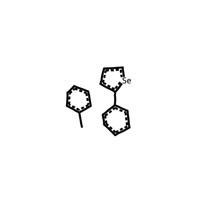 Cc1ccccc1.c1ccc(-c2ccc[se]2)cc1